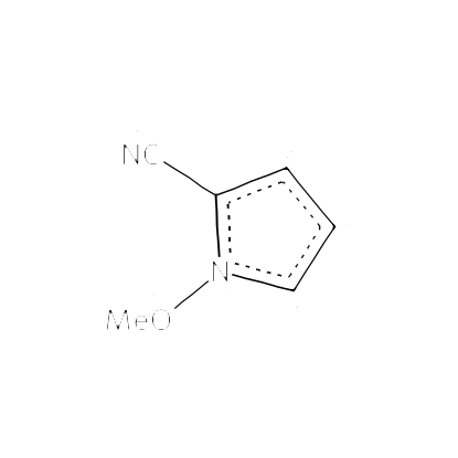 COn1cccc1C#N